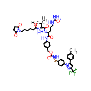 Cc1ccc(-c2cc(C(F)(F)F)nn2-c2ccc(SNC(=O)OCc3ccc(NC(=O)C(CCCNC(N)=O)NC(=O)[C@@H](NC(=O)CCCCCN4C(=O)C=CC4=O)C(C)C)cc3)cc2)cc1